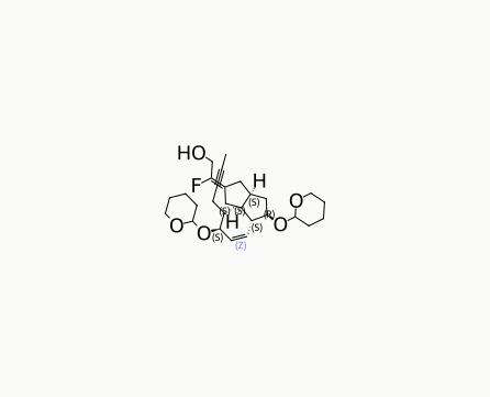 CC#CC[C@H](C)[C@@H](/C=C\[C@@H]1[C@H]2CC(=C(F)CO)C[C@H]2C[C@H]1OC1CCCCO1)OC1CCCCO1